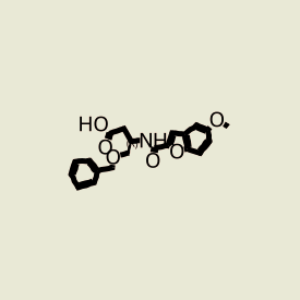 COc1ccc2oc(C(=O)N[C@@H](COCc3ccccc3)CC(=O)O)cc2c1